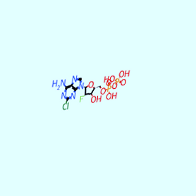 Nc1nc(Cl)nc2c1ncn2[C@@H]1O[C@H](COP(=O)(O)OP(=O)(O)O)[C@@H](O)[C@@H]1F